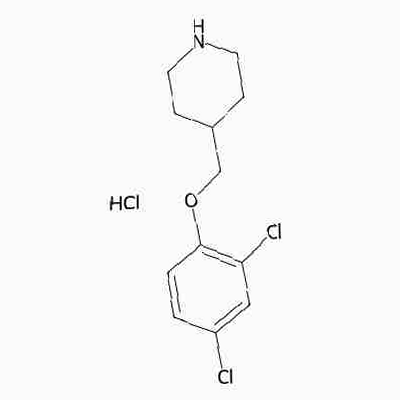 Cl.Clc1ccc(OCC2CCNCC2)c(Cl)c1